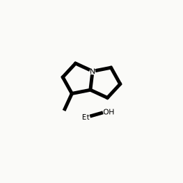 CC1CCN2CCCC12.CCO